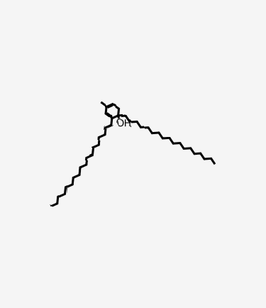 CCCCCCCCCCCCCCCCCCC1=CC(C)=CCC1(O)CCCCCCCCCCCCCCCCCC